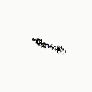 C[Si](C)(C)COCC/N=C/c1cn(-c2ncc(Br)cc2F)cn1